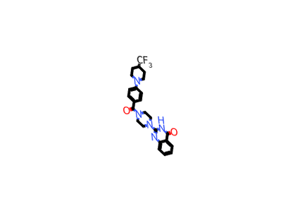 O=C(c1ccc(N2CCC(C(F)(F)F)CC2)cc1)N1CCN(c2nc3ccccc3c(=O)[nH]2)CC1